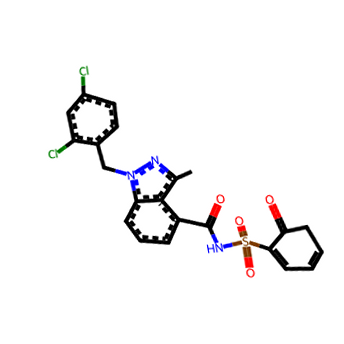 Cc1nn(Cc2ccc(Cl)cc2Cl)c2cccc(C(=O)NS(=O)(=O)C3=CC=CCC3=O)c12